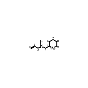 C=CCNCC1CCCC[N]1